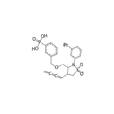 C=C=C=CC1CS(=O)(=O)N(c2cccc(C(C)C)c2)C1COCc1cccc(P(=O)(O)O)c1